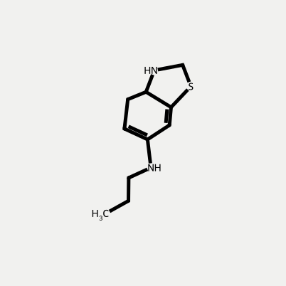 CCCNC1=CCC2NCSC2=C1